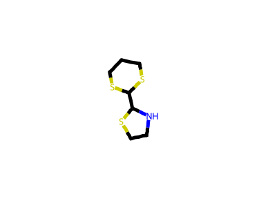 C1CSC(C2NCCS2)SC1